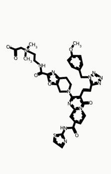 COc1ccc(Cn2nnnc2C=Cc2c(N3CCc4nc(C(=O)NCC[N+](C)(C)CC(=O)[O-])oc4C3)nc3cc(C(=O)Nc4nccs4)ccn3c2=O)cc1